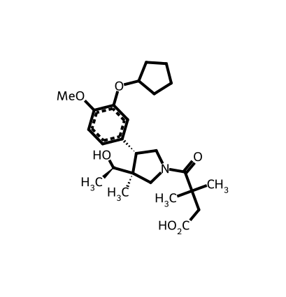 COc1ccc([C@@H]2CN(C(=O)C(C)(C)CC(=O)O)C[C@@]2(C)[C@@H](C)O)cc1OC1CCCC1